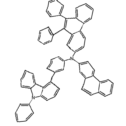 c1ccc(-c2c(-c3ccccc3)c3cc(N(c4cccc(-c5cccc6c5c5ccccc5n6-c5ccccc5)c4)c4ccc5c(ccc6ccccc65)c4)ccc3c3ccccc23)cc1